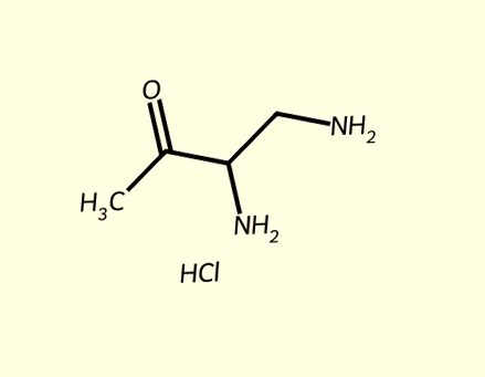 CC(=O)C(N)CN.Cl